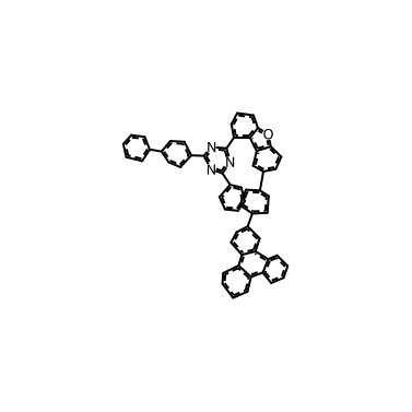 c1ccc(-c2ccc(-c3nc(-c4ccccc4)nc(-c4cccc5oc6ccc(-c7ccc(-c8ccc9c%10ccccc%10c%10ccccc%10c9c8)cc7)cc6c45)n3)cc2)cc1